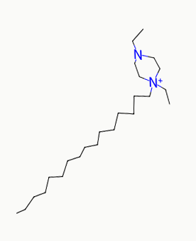 CCCCCCCCCCCCCCCC[N+]1(CC)CCN(CC)CC1